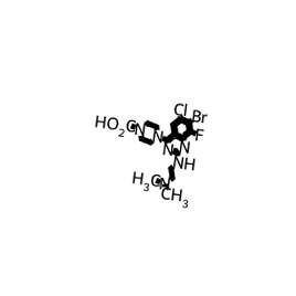 CN(C)CCNc1nc(N2CCN(C(=O)O)CC2)c2cc(Cl)c(Br)c(F)c2n1